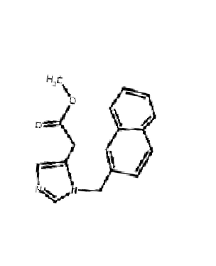 COC(=O)Cc1cncn1Cc1ccc2ccccc2c1